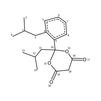 CC(C)Cc1ccccc1C1(CC(C)C)OC(=O)CC(=O)O1